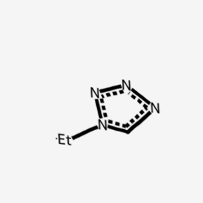 C[CH]n1cnnn1